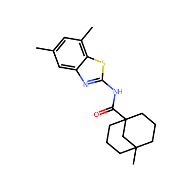 Cc1cc(C)c2sc(NC(=O)C34CCCC(C)(CCC3)C4)nc2c1